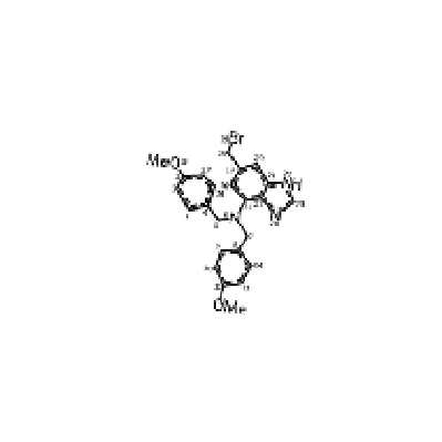 COc1ccc(CN(Cc2ccc(OC)cc2)c2cc(CBr)cc3[nH]cnc23)cc1